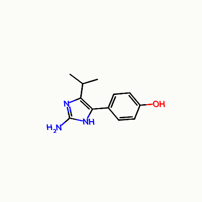 CC(C)c1nc(N)[nH]c1-c1ccc(O)cc1